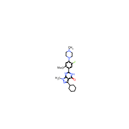 COc1cc(N2CCN(C)CC2)c(F)cc1-c1nc2c(c(C3CCCCC3)nn2C)c(=O)[nH]1